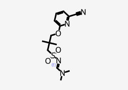 CN(C)/C=N/S(=O)(=O)CC(C)(C)COc1cccc(C#N)n1